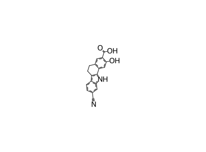 N#Cc1ccc2c3c([nH]c2c1)-c1cc(O)c(C(=O)O)cc1CC3